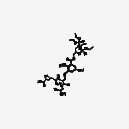 CCOP(=O)(OCC)OCC(COC(=O)c1cc(O)cc(SCC(NC(=O)CCC(N)C(=O)O)C(=O)NCC(=O)O)c1O)OP(=O)(OCC)OCC